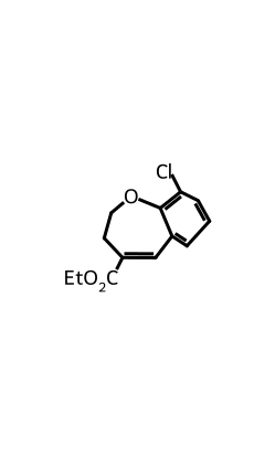 CCOC(=O)C1=Cc2cccc(Cl)c2OCC1